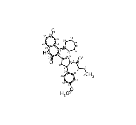 CCCC(=O)N1N=C(c2c(N3CCOCC3)c3cc(Cl)ccc3[nH]c2=O)CC1c1ccc(OC)cc1